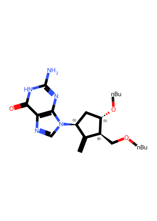 C=C1[C@H](COCCCC)[C@@H](OCCCC)C[C@@H]1n1cnc2c(=O)[nH]c(N)nc21